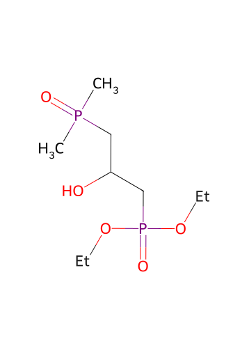 CCOP(=O)(CC(O)CP(C)(C)=O)OCC